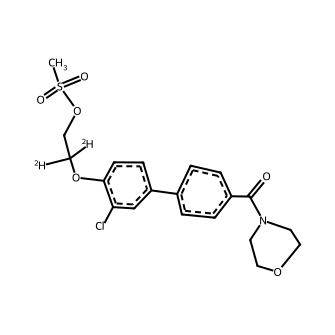 [2H]C([2H])(COS(C)(=O)=O)Oc1ccc(-c2ccc(C(=O)N3CCOCC3)cc2)cc1Cl